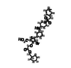 O=C(COc1c(C(=O)O)sc(-c2cccc(NC3CCN(S(=O)(=O)Cc4ccccc4)CC3)c2)c1Br)OCC1CCCCC1